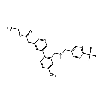 CCOC(=O)Cc1cncc(-c2ccc(C)cc2CNCc2ccc(C(F)(F)F)nc2)c1